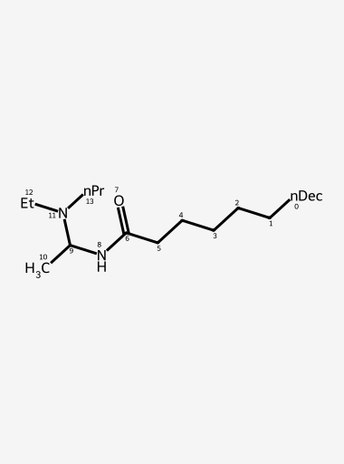 CCCCCCCCCCCCCCCC(=O)NC(C)N(CC)CCC